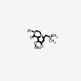 CCCCOc1c2n(c(CN(C)C)cc1=O)CCN(C(C)C)C2=O